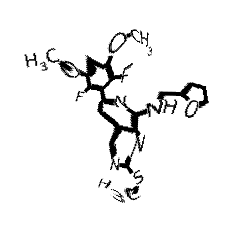 COc1cc(OC)c(F)c(-c2cc3cnc(SC)nc3c(NCC3CCCO3)n2)c1F